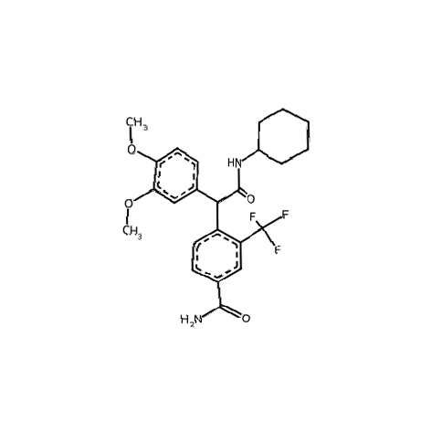 COc1ccc(C(C(=O)NC2CCCCC2)c2ccc(C(N)=O)cc2C(F)(F)F)cc1OC